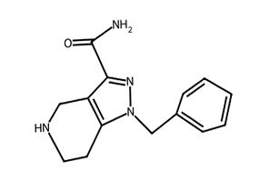 NC(=O)c1nn(Cc2ccccc2)c2c1CNCC2